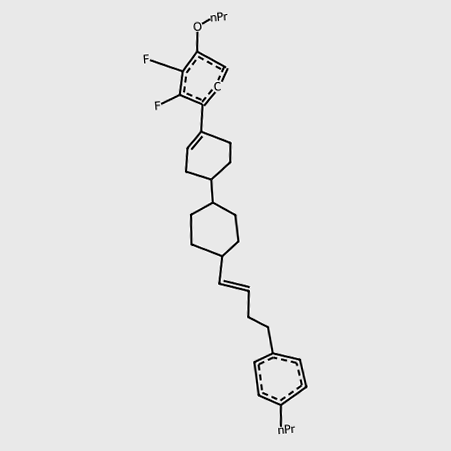 CCCOc1ccc(C2=CCC(C3CCC(/C=C/CCc4ccc(CCC)cc4)CC3)CC2)c(F)c1F